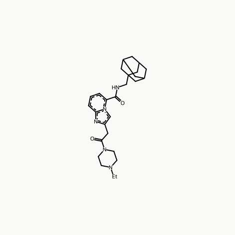 CCN1CCN(C(=O)Cc2cn3c(C(=O)NCC45CC6CC(CC(C6)C4)C5)cccc3n2)CC1